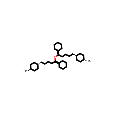 CCC[C@H]1CC[C@H](CCCCC(OC(CCCC[C@H]2CC[C@H](CCC)CC2)=C2CCCCC2)=C2CCCCC2)CC1